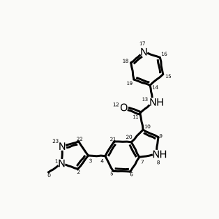 Cn1cc(-c2ccc3[nH]cc(C(=O)Nc4ccncc4)c3c2)cn1